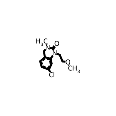 COCCN1C(=O)N(C)Cc2ccc(Cl)cc21